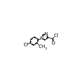 Cc1cc(Cl)ccc1-n1cnc(C(=O)Cl)c1